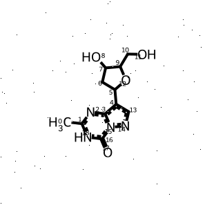 Cc1nc2c(C3CC(O)C(CO)O3)cnn2c(=O)[nH]1